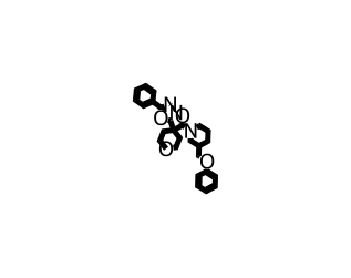 O=C(N1CCCC(COc2ccccc2)C1)C1(c2nnc(-c3ccccc3)o2)CCOCC1